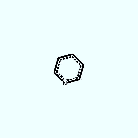 [c]1c[c]ncc1